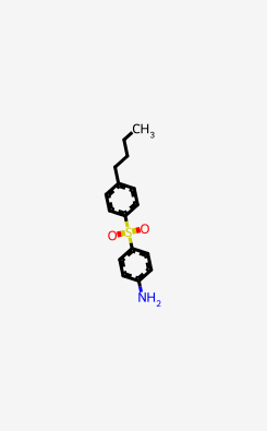 CCCCc1ccc(S(=O)(=O)c2ccc(N)cc2)cc1